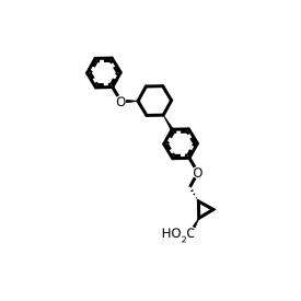 O=C(O)[C@@H]1C[C@H]1COc1ccc([C@@H]2CCC[C@H](Oc3ccccc3)C2)cc1